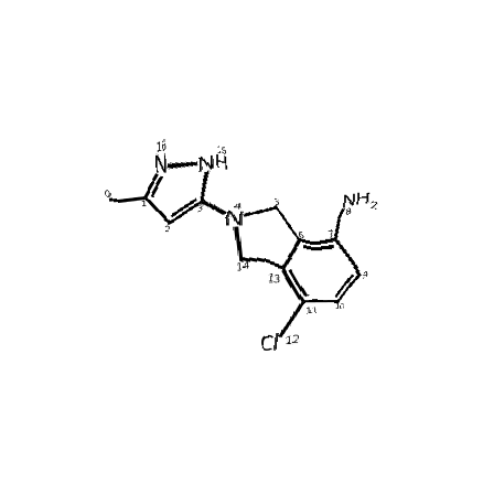 Cc1cc(N2Cc3c(N)ccc(Cl)c3C2)[nH]n1